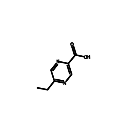 CCc1cnc(C(=O)O)cn1